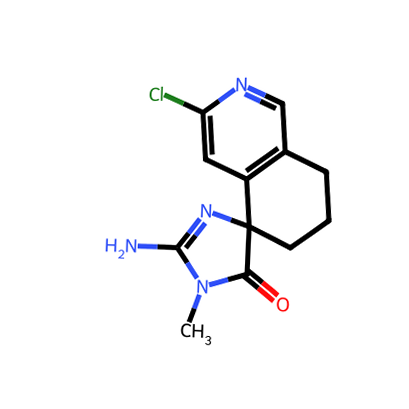 CN1C(=O)C2(CCCc3cnc(Cl)cc32)N=C1N